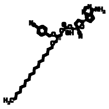 CCCCCCCCCCCCCCCCCCOC[C@H](COP(=O)(O)OC[C@]1(C#N)CC[C@H](c2ccc3c(N)ncnn23)O1)OCc1ccc(C#N)cc1